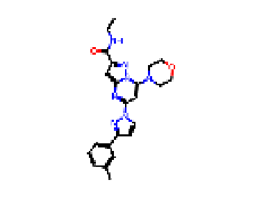 CCNC(=O)c1cc2nc(-n3ccc(-c4cccc(C)c4)n3)cc(N3CCOCC3)n2n1